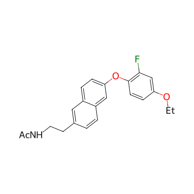 CCOc1ccc(Oc2ccc3cc(CCNC(C)=O)ccc3c2)c(F)c1